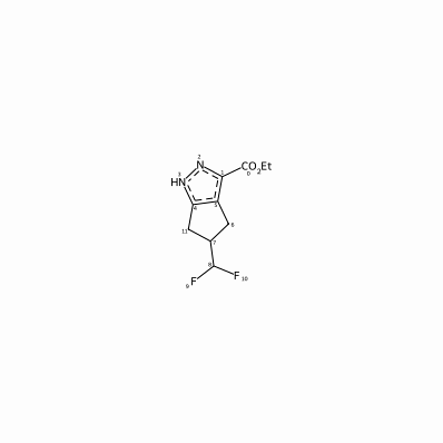 CCOC(=O)c1n[nH]c2c1CC(C(F)F)C2